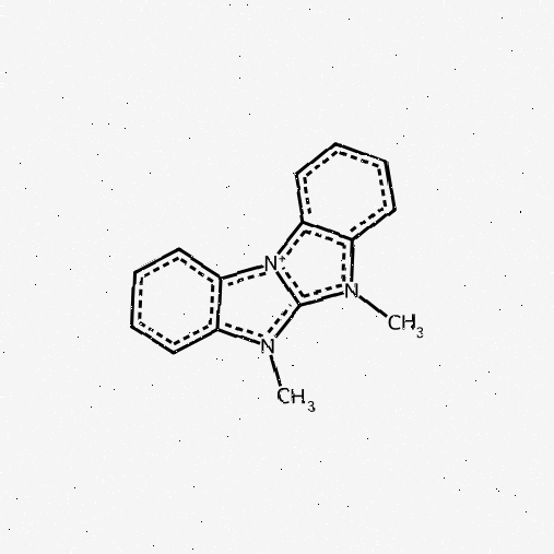 Cn1c2ccccc2[n+]2c3ccccc3n(C)c12